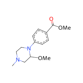 COC(=O)c1ccc(N2CCN(C)CC2OC)cc1